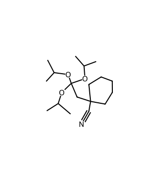 CC(C)OC(CC1(C#N)CCCCC1)(OC(C)C)OC(C)C